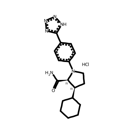 Cl.NC(=O)[C@@H]1[C@H](C2CCCCC2)CCN1c1ccc(-c2nnn[nH]2)cc1